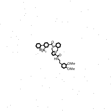 COc1ccc(CCNC(=O)c2ccc3n2Cc2ccccc2N(C(=O)c2ccc(-c4ccccc4C)c(C)c2)C3)cc1OC